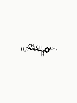 CC(C)=CCC/C(C)=C/[CH]Nc1ccc(C)cc1